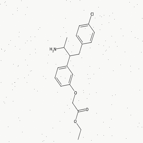 CCOC(=O)COc1cccc(C(Cc2ccc(Cl)cc2)C(C)N)c1